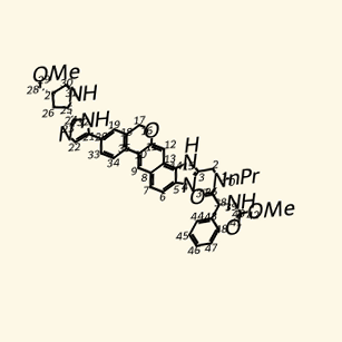 CCCN(Cc1nc2ccc3cc4c(cc3c2[nH]1)OCc1cc(-c2cnc([C@@H]3C[C@H](COC)CN3)[nH]2)ccc1-4)C(=O)[C@H](NC(=O)OC)c1ccccc1